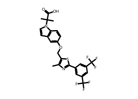 Cc1nc(-c2cc(C(F)(F)F)cc(C(F)(F)F)c2)sc1COc1ccc2c(ccn2C(C)(C)C(=O)O)c1